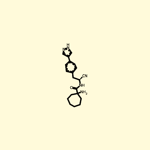 N#C[C@H](Cc1ccc(-c2cn[nH]c2)cc1)NC(=O)C1(N)CCCCCC1